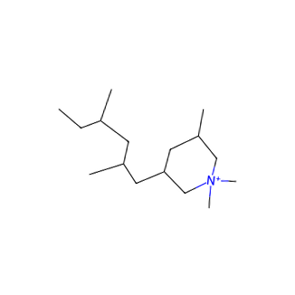 CCC(C)CC(C)CC1CC(C)C[N+](C)(C)C1